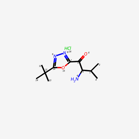 CC(C)C(N)C(=O)c1nnc(C(C)(C)C)o1.Cl